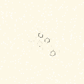 Cc1ncc(-c2cnc(OCCc3c(F)cccc3Cl)c(F)c2)c(N2CCC(C)(C)CC2)c1[C@H](OC(C)(C)C)C(=O)O